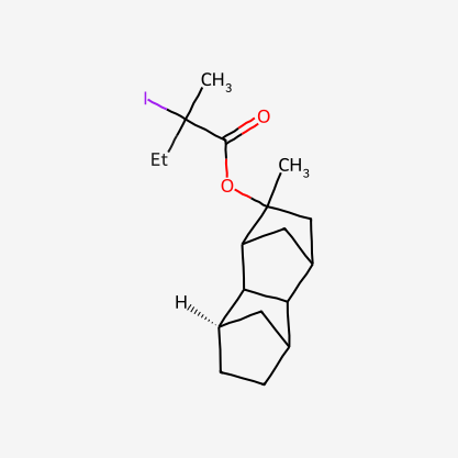 CCC(C)(I)C(=O)OC1(C)CC2CC1C1C2C2CC[C@@H]1C2